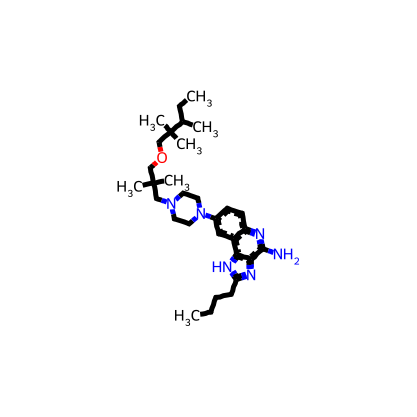 CCCCc1nc2c(N)nc3ccc(N4CCN(CC(C)(C)COCC(C)(C)C(C)CC)CC4)cc3c2[nH]1